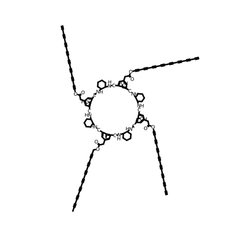 C#CC#CC#CC#CC#CC#CC#CC#COC(=O)Cc1cc2c(O)c(c1)CNC1CCCCC1NCc1cc(CC(=O)OC#CC#CC#CC#CC#CC#CC#CC#C)cc(c1O)CNC1CCCCC1NCc1cc(CC(=O)OC#CC#CC#CC#CC#CC#CC#CC#C)cc(c1O)CNC1CCCCC1NCc1cc(CC(=O)OCC#CC#CC#CC#CC#CC#CC#CC)cc(c1C)CNC1CCCCC1NC2